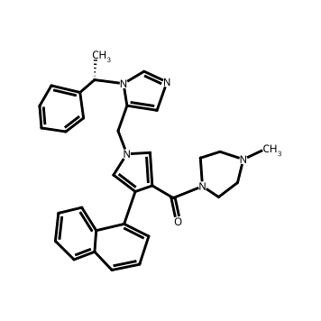 C[C@@H](c1ccccc1)n1cncc1Cn1cc(C(=O)N2CCN(C)CC2)c(-c2cccc3ccccc23)c1